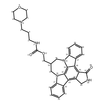 O=C(NCCCN1CCOCC1)OCC1Cn2c3ccccc3c3c4c(c5c6ccccc6n(c5c32)C1)C(=O)NC4